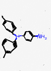 Cc1ccc(N(c2ccc(C)cc2)c2ccc(N)cc2)cc1